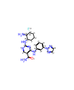 NC(=O)c1cnc(N[C@@H]2CCC[C@@H](F)[C@@H]2N)nc1Nc1cccc(-n2nccn2)c1